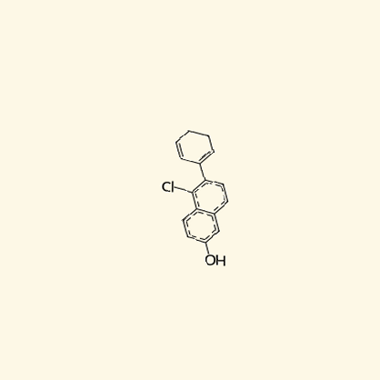 Oc1ccc2c(Cl)c(C3=CCCC=C3)ccc2c1